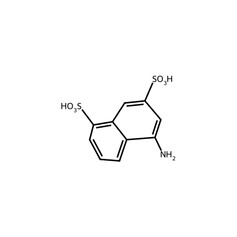 Nc1cc(S(=O)(=O)O)cc2c(S(=O)(=O)O)cccc12